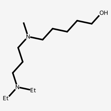 CCN(CC)CCCN(C)CCCCCO